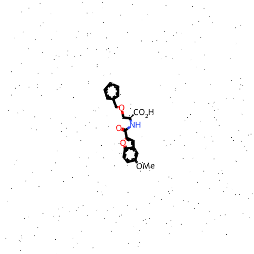 COc1ccc2oc(C(=O)N[C@@H](COCc3ccccc3)C(=O)O)cc2c1